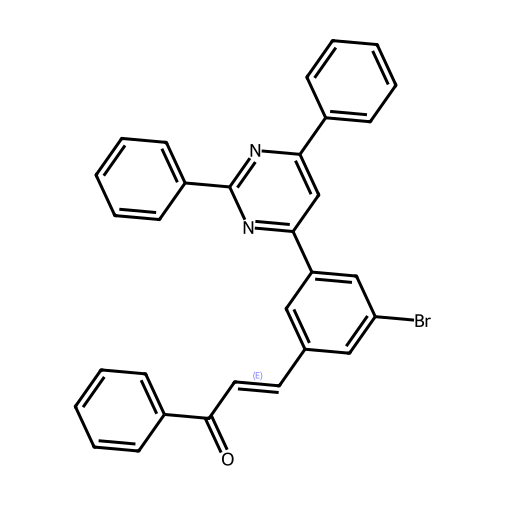 O=C(/C=C/c1cc(Br)cc(-c2cc(-c3ccccc3)nc(-c3ccccc3)n2)c1)c1ccccc1